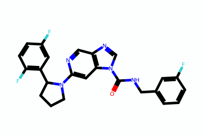 O=C(NCc1cccc(F)c1)n1cnc2cnc(N3CCCC3c3cc(F)ccc3F)cc21